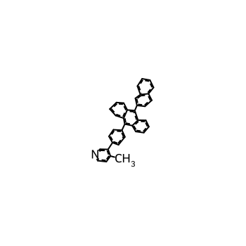 Cc1ccncc1-c1ccc(-c2c3ccccc3c(-c3ccc4ccccc4c3)c3ccccc23)cc1